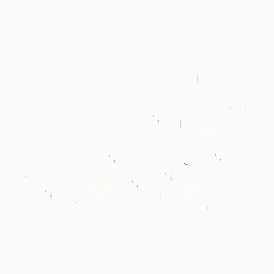 C#Cc1c(F)ccc2cccc(-c3ncc4c(N(C)C[C@H]5N(C(=O)C=C)CCC5(C)O)nc(OC[C@@H]5CCCN5C)nc4c3F)c12